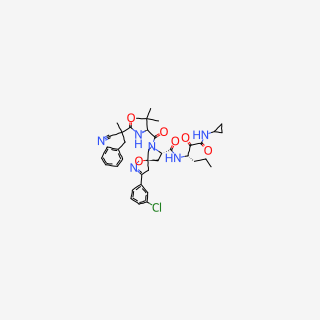 CCC[C@H](NC(=O)[C@@H]1C[C@]2(CC(c3cccc(Cl)c3)=NO2)CN1C(=O)[C@@H](NC(=O)C(C)(C#N)Cc1ccccc1)C(C)(C)C)C(=O)C(=O)NC1CC1